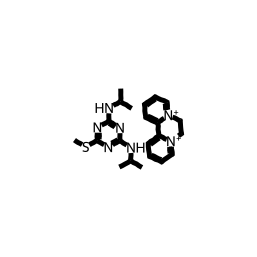 CSc1nc(NC(C)C)nc(NC(C)C)n1.c1cc[n+]2c(c1)-c1cccc[n+]1CC2